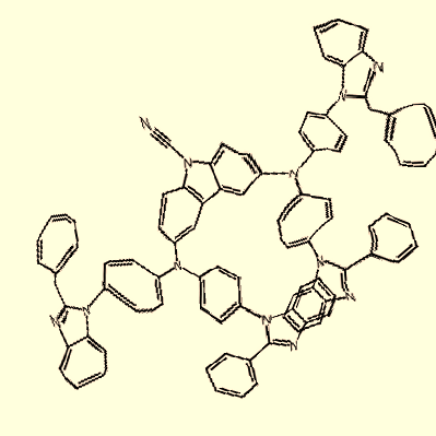 N#Cn1c2ccc(N(c3ccc(-n4c(-c5ccccc5)nc5ccccc54)cc3)c3ccc(-n4c(-c5ccccc5)nc5ccccc54)cc3)cc2c2cc(N(c3ccc(-n4c(-c5ccccc5)nc5ccccc54)cc3)c3ccc(-n4c(-c5ccccc5)nc5ccccc54)cc3)ccc21